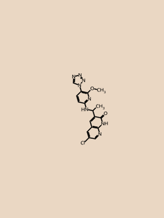 COc1nc(NC(C)c2cc3cc(Cl)cnc3[nH]c2=O)ccc1-n1cnnn1